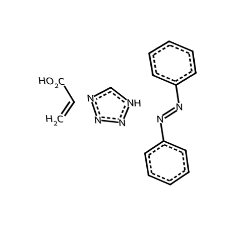 C=CC(=O)O.c1ccc(N=Nc2ccccc2)cc1.c1nnn[nH]1